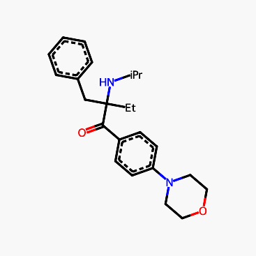 CCC(Cc1ccccc1)(NC(C)C)C(=O)c1ccc(N2CCOCC2)cc1